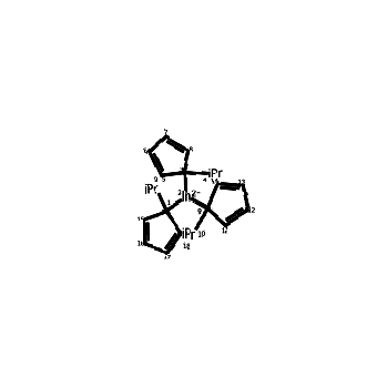 CC(C)[C]1([In-2]([C]2(C(C)C)C=CC=C2)[C]2(C(C)C)C=CC=C2)C=CC=C1